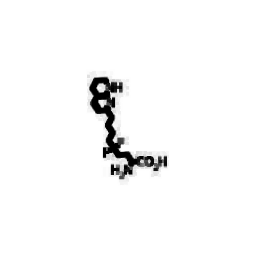 NC(CCC(F)(F)CCCCc1ccc2c(n1)NCCC2)C(=O)O